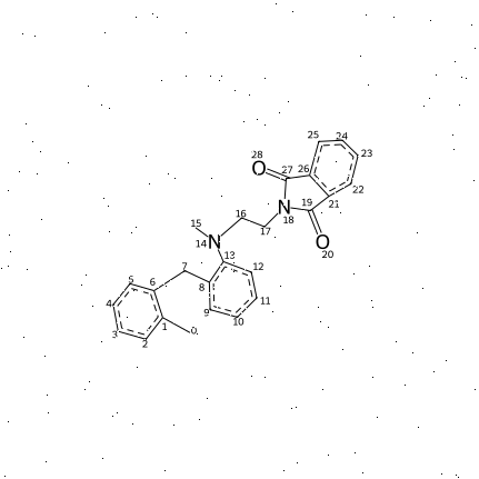 Cc1ccccc1Cc1ccccc1N(C)CCN1C(=O)c2ccccc2C1=O